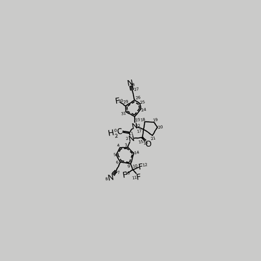 C=C1N(c2ccc(C#N)c(C(F)(F)F)c2)C(=O)C2(CCCC2)N1c1ccc(C#N)c(F)c1